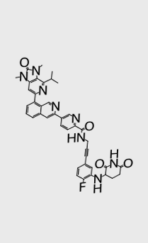 CC(C)c1nc(-c2cccc3cc(-c4ccc(C(=O)NCC#Cc5ccc(F)c(NC6CCC(=O)NC6=O)c5)nc4)ncc23)cc2c1n(C)c(=O)n2C